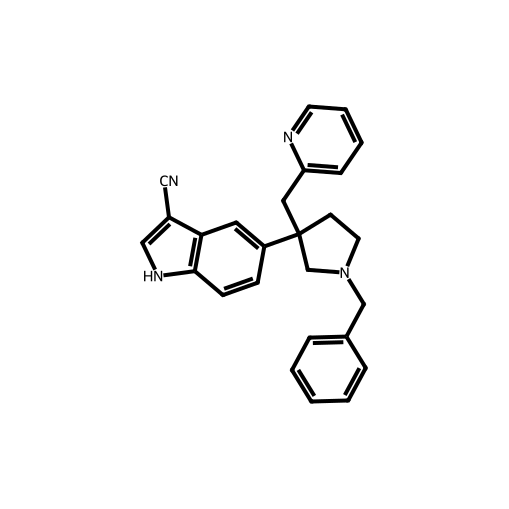 N#Cc1c[nH]c2ccc(C3(Cc4ccccn4)CCN(Cc4ccccc4)C3)cc12